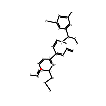 C=C/C=C(\C=C/N(C)C(CC)c1cc(C)cc(Cl)c1)C(/C=C\N=C)=N/C(CCC)CCC